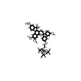 COc1ccc(C2(c3ccc(OCCO[Si](OC(C)(C)C)(OC(C)(C)C)OC(C)(C)C)cc3)C=Cc3c4c(c5cc(OC)c(OC)cc5c3O2)-c2ccc(O)cc2C4(C)C)cc1